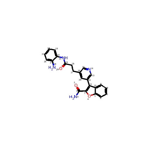 NC(=O)c1oc2ccccc2c1-c1cncc(CCC(=O)Nc2ccccc2N)c1